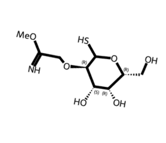 COC(=N)CO[C@H]1C(S)O[C@H](CO)[C@H](O)[C@@H]1O